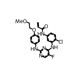 C=CC(=O)Nc1ccc(Cl)c(Nc2nc(Nc3ccc(OCCOC)cc3)ncc2F)c1